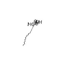 CCCCCCCCCCCCCCCCCCCC(O)CCS(=O)(=O)O